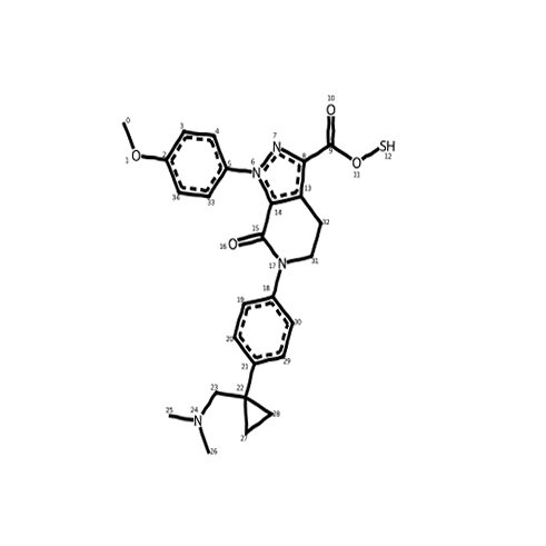 COc1ccc(-n2nc(C(=O)OS)c3c2C(=O)N(c2ccc(C4(CN(C)C)CC4)cc2)CC3)cc1